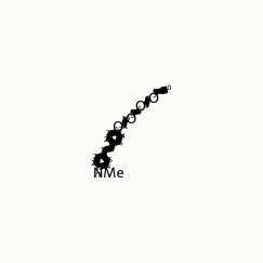 C#CCOCCOCCOCCOc1ccc(/C=C/c2ccc(NC)cc2)cc1